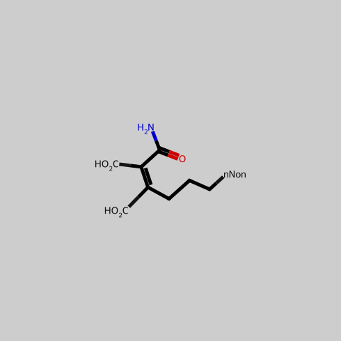 CCCCCCCCCCCCC(C(=O)O)=C(C(N)=O)C(=O)O